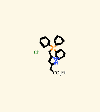 CCOC(=O)Cc1cc(C[P+](c2ccccc2)(c2ccccc2)c2ccccc2)[nH]n1.[Cl-]